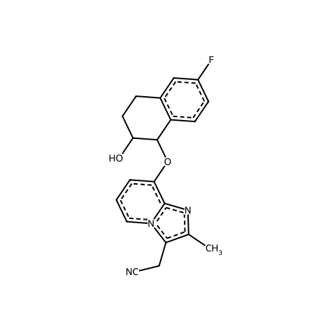 Cc1nc2c(OC3c4ccc(F)cc4CCC3O)cccn2c1CC#N